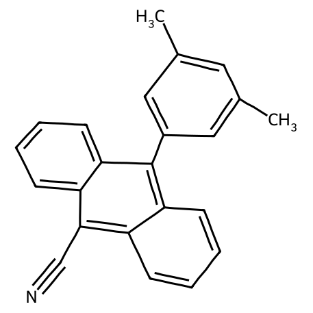 Cc1cc(C)cc(-c2c3ccccc3c(C#N)c3ccccc23)c1